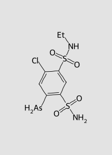 CCNS(=O)(=O)c1cc(S(N)(=O)=O)c([AsH2])cc1Cl